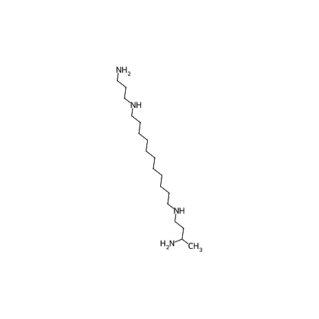 CC(N)CCNCCCCCCCCCCCNCCCN